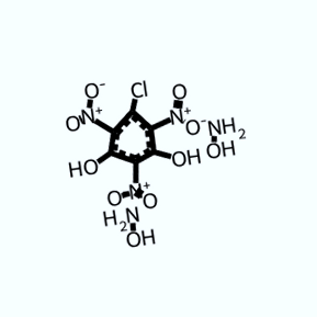 NO.NO.O=[N+]([O-])c1c(O)c([N+](=O)[O-])c(Cl)c([N+](=O)[O-])c1O